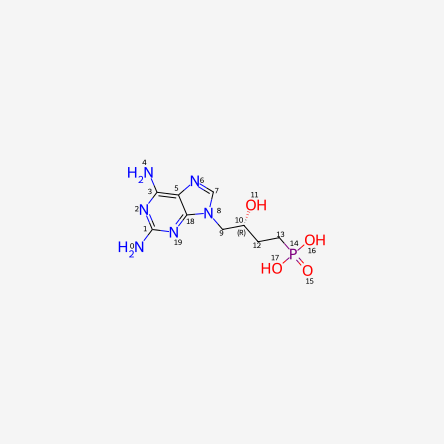 Nc1nc(N)c2ncn(C[C@H](O)CCP(=O)(O)O)c2n1